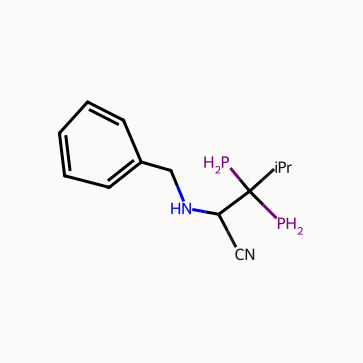 CC(C)C(P)(P)C(C#N)NCc1ccccc1